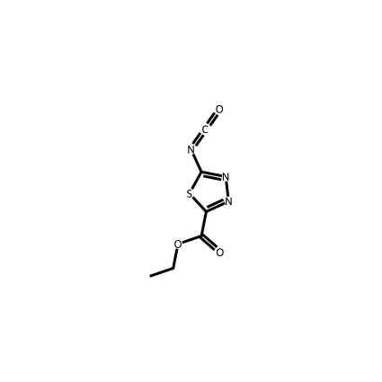 CCOC(=O)c1nnc(N=C=O)s1